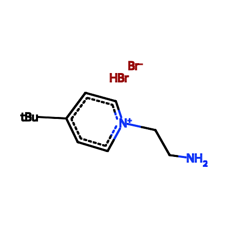 Br.CC(C)(C)c1cc[n+](CCN)cc1.[Br-]